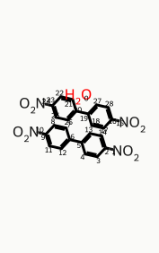 O.O=[N+]([O-])c1ccc(-c2ccc([N+](=O)[O-])cc2)cc1.O=[N+]([O-])c1ccc(-c2ccc([N+](=O)[O-])cc2)cc1